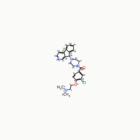 CN(C)CCOc1ccc(C(=O)N2CCN(C3c4ccccc4-c4ccncc43)CC2)cc1Cl